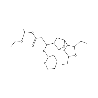 CCOC(C)OC(=O)CC(OC1CCCCO1)C1CC2OC1C1C(CC)OC(CC)C21